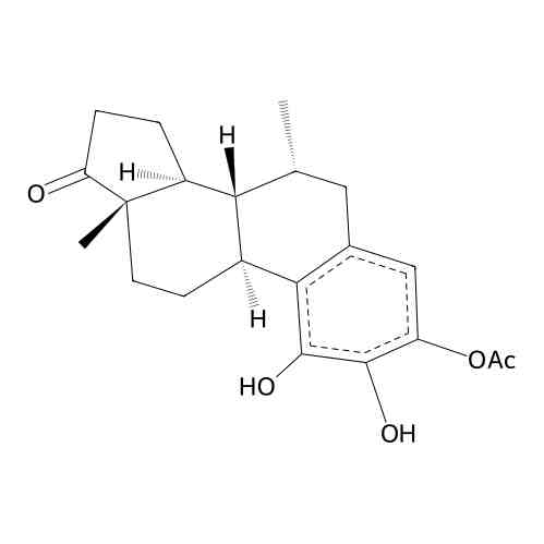 CC(=O)Oc1cc2c(c(O)c1O)[C@H]1CC[C@]3(C)C(=O)CC[C@H]3[C@@H]1[C@H](C)C2